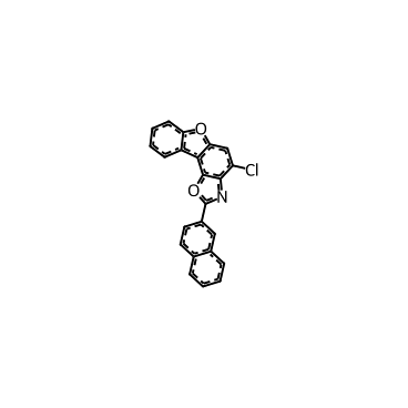 Clc1cc2oc3ccccc3c2c2oc(-c3ccc4ccccc4c3)nc12